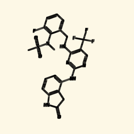 CN(c1c(F)cccc1CNc1nc(Nc2cccc3c2CC(=O)N3)ncc1C(F)(F)F)S(C)(=O)=O